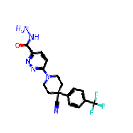 N#CC1(c2ccc(C(F)(F)F)cc2)CCN(c2ccc(C(=O)NN)nn2)CC1